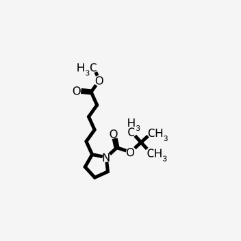 COC(=O)CCCCC1CCCN1C(=O)OC(C)(C)C